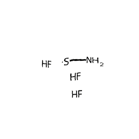 F.F.F.N[S]